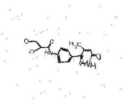 Cc1cc(=O)[nH]nc1-c1ccc(NC(=O)C(Cl)CCl)cc1